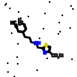 C#C/C=C(\C=C/C)CCCNCc1nc(C(=O)OCC)cs1